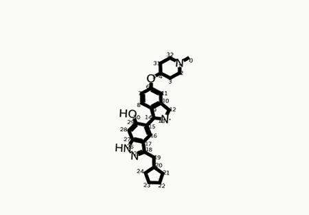 CN1CCC(Oc2ccc3c(c2)C[N]C3c2cc3c(CC4CCCC4)n[nH]c3cc2O)CC1